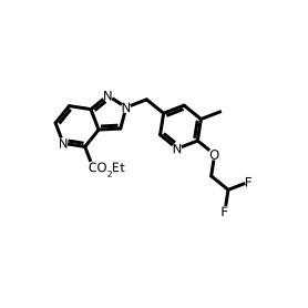 CCOC(=O)c1nccc2nn(Cc3cnc(OCC(F)F)c(C)c3)cc12